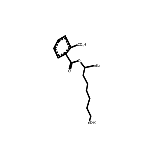 CCCCCCCCCCCCCCCCC(CCCC)OC(=O)c1ccccc1C(=O)O